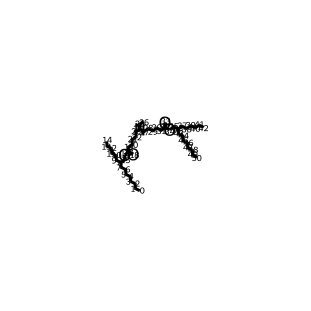 CCCCCCCCC(CCCCCC)COC(=O)CCCCCN(CC)CCCCCC(=O)OCC(CCCCCC)CCCCCCCC